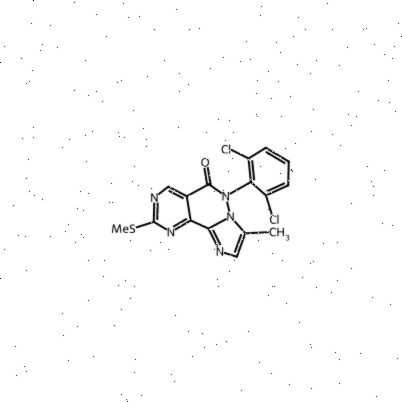 CSc1ncc2c(=O)n(-c3c(Cl)cccc3Cl)n3c(C)cnc3c2n1